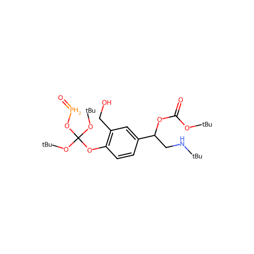 CC(C)(C)NCC(OC(=O)OC(C)(C)C)c1ccc(OC(O[PH2]=O)(OC(C)(C)C)OC(C)(C)C)c(CO)c1